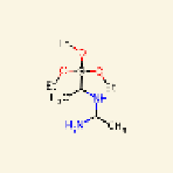 CCO[Si](OCC)(OCC)C(C)NC(C)N